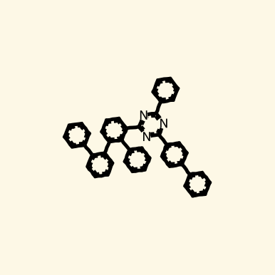 c1ccc(-c2ccc(-c3nc(-c4ccccc4)nc(-c4cccc(-c5ccccc5-c5ccccc5)c4-c4ccccc4)n3)cc2)cc1